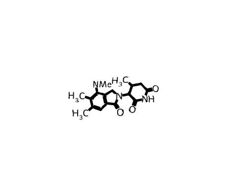 CNc1c(C)c(C)cc2c1CN(C1C(=O)NC(=O)CC1C)C2=O